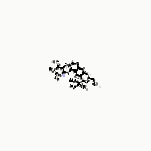 CCCOc1cc2ncnc(N/C(=N/C)C(C)=C(C)C)c2cc1[S+]([O-])C(C)(C)C